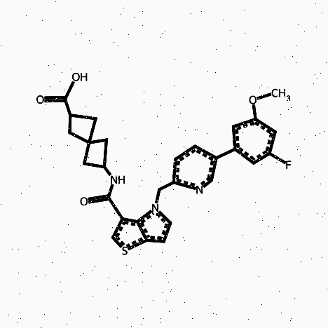 COc1cc(F)cc(-c2ccc(Cn3ccc4scc(C(=O)NC5CC6(C5)CC(C(=O)O)C6)c43)nc2)c1